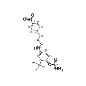 CC(C)(C)c1cc(NCCCc2ccc([N+](=O)[O-])cc2)ccc1OC(N)=O